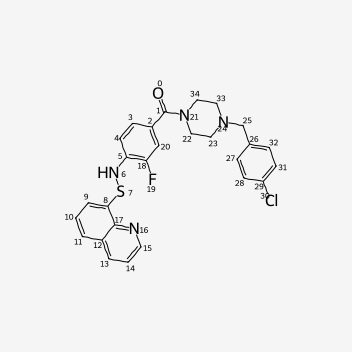 O=C(c1ccc(NSc2cccc3cccnc23)c(F)c1)N1CCN(Cc2ccc(Cl)cc2)CC1